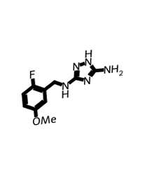 COc1ccc(F)c(CNc2n[nH]c(N)n2)c1